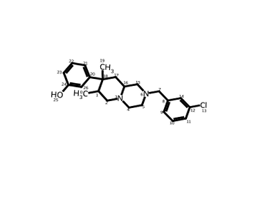 CC1CN2CCN(Cc3cccc(Cl)c3)CC2CC1(C)c1cccc(O)c1